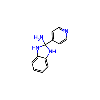 NC1(c2ccncc2)Nc2ccccc2N1